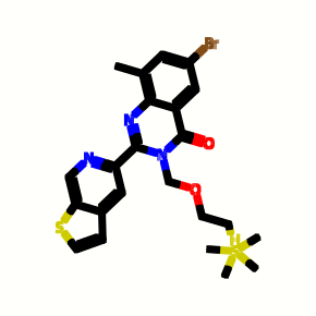 Cc1cc(Br)cc2c(=O)n(COCC[SH](C)(C)(C)C)c(-c3cc4ccsc4cn3)nc12